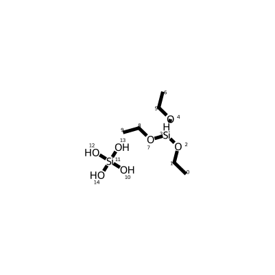 CCO[SiH](OCC)OCC.O[Si](O)(O)O